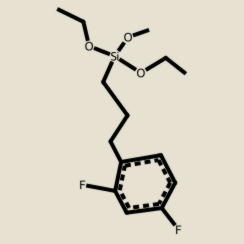 CCO[Si](CCCc1ccc(F)cc1F)(OC)OCC